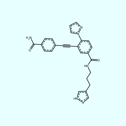 NC(=O)c1ccc(C#Cc2cc(C(=O)NCCCc3cn[nH]c3)ccc2-n2cccn2)cc1